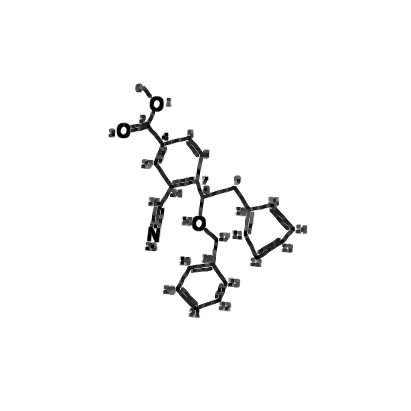 COC(=O)c1ccc(C(Cc2ccccc2)OCc2ccccc2)c(C#N)c1